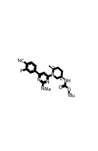 CNc1nc(-c2ccc(C#N)c(F)c2)cc(N2C[C@H](NC(=O)OC(C)(C)C)CC[C@@H]2C)n1